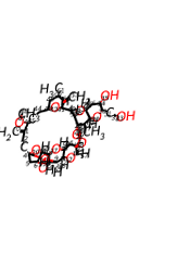 C=C1CC[C@@]23CC4O[C@H]5[C@@H](O2)[C@H]2O[C@H](CC[C@@H]2O[C@H]5[C@H]4O3)CC(=O)O[C@@H]2[C@@H](C)[C@@H]3O[C@H](CCO)[C@H](O)C[C@@H]3O[C@H]2C[C@H]2OC(CC[C@@H]1OC)C[C@@H](C)C2=C